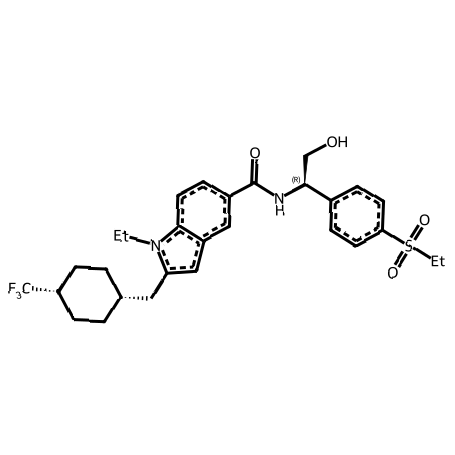 CCn1c(C[C@H]2CC[C@@H](C(F)(F)F)CC2)cc2cc(C(=O)N[C@@H](CO)c3ccc(S(=O)(=O)CC)cc3)ccc21